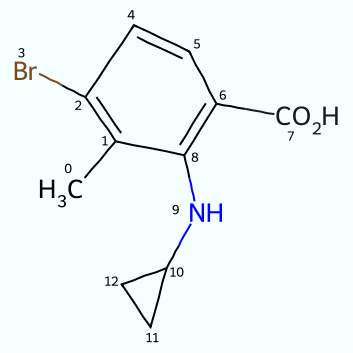 Cc1c(Br)ccc(C(=O)O)c1NC1CC1